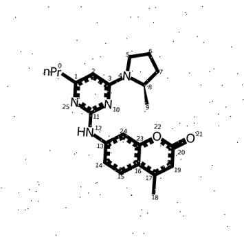 CCCc1cc(N2CCC[C@H]2C)nc(Nc2ccc3c(C)cc(=O)oc3c2)n1